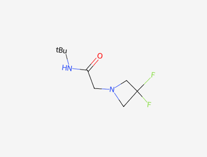 CC(C)(C)NC(=O)CN1CC(F)(F)C1